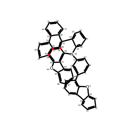 c1cc(-c2cccc3c2oc2ccccc23)cc(N(c2ccccc2-c2cc3ccccc3c3ccccc23)c2cccc3oc4ccccc4c23)c1